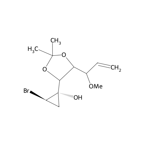 C=CC(OC)C1OC(C)(C)OC1[C@@]1(O)C[C@H]1Br